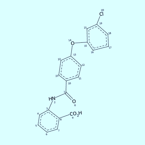 O=C(Nc1ccccc1C(=O)O)c1ccc(Oc2cccc(Cl)c2)cc1